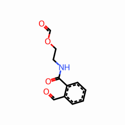 O=COCCNC(=O)c1ccccc1C=O